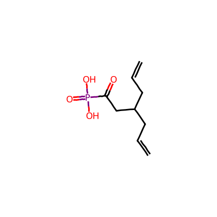 C=CCC(CC=C)CC(=O)P(=O)(O)O